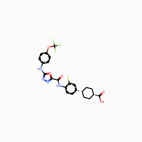 O=C(Nc1ccc([C@H]2CC[C@H](C(=O)O)CC2)cc1F)c1nnc(Nc2ccc(OC(F)(F)F)cc2)o1